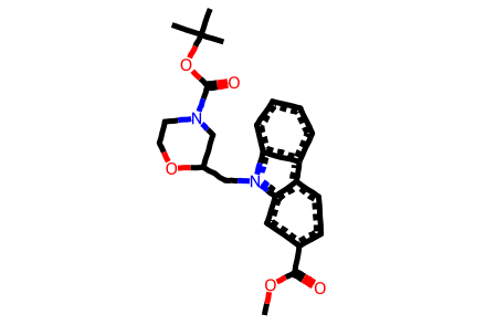 COC(=O)c1ccc2c3ccccc3n(CC3CN(C(=O)OC(C)(C)C)CCO3)c2c1